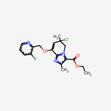 CCOC(=O)c1c(C)nc2n1CC(C)(Cl)C=C2OCc1ncccc1F